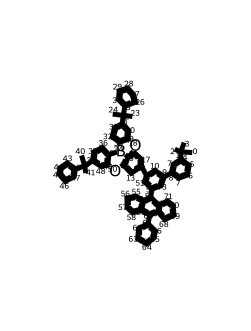 CC(C)(C)c1cccc(-c2cc(-c3cc4c5c(c3)Oc3cc(C(C)(C)c6ccccc6)ccc3B5c3ccc(C(C)(C)c5ccccc5)cc3O4)cc(-c3c4ccccc4c(-c4ccccc4)c4ccccc34)c2)c1